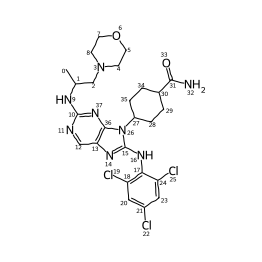 CC(CN1CCOCC1)Nc1ncc2nc(Nc3c(Cl)cc(Cl)cc3Cl)n(C3CCC(C(N)=O)CC3)c2n1